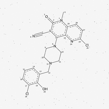 Cn1c(=O)c(C#N)c(N2CCN(Cc3cccc(Cl)c3O)CC2)c2nc(Cl)ccc21